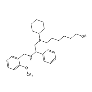 COc1ccccc1CNC(CN(CCCCCCO)C1CCCCC1)c1ccccc1